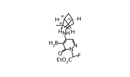 Bc1c(N[C@@H]2C[C@@H]3C[C@H]([C@H]2C)C3(C)C)cnn(C(F)C(=O)OCC)c1=O